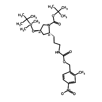 Cc1cc([N+](=O)[O-])ccc1COC(=O)NCCC[C@@H]1C[C@@H](O[Si](C)(C)C(C)(C)C)CN1C(=O)OC(C)(C)C